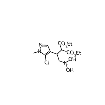 CCOC(=O)C(C(=O)OCC)C(CN(O)O)c1cnn(C)c1Cl